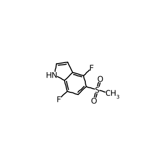 CS(=O)(=O)c1cc(F)c2[nH]ccc2c1F